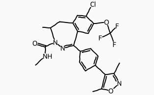 CNC(=O)N1N=C(c2ccc(-c3c(C)noc3C)cc2)c2cc(OC(F)(F)F)c(Cl)cc2CC1C